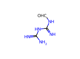 N=C(N)NC(=N)NC=O